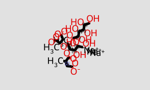 C/C(=C/C(=O)[O-])C(=O)O[C@@H]([C@H](O)[C@H](O)CO)[C@@](C)(OC(=O)[C@H](O)[C@@H](O)[C@H](O)[C@H](O)CO)OC(C)(CC(=O)[O-])C(=O)[O-].[Na+].[Na+].[Na+]